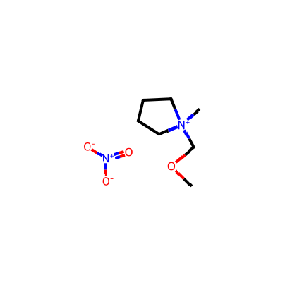 COC[N+]1(C)CCCC1.O=[N+]([O-])[O-]